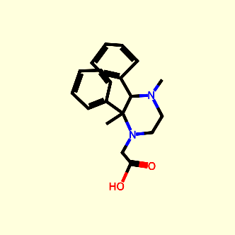 CN1CCN(CC(=O)O)C(C)(c2ccccc2)C1c1ccccc1